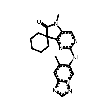 Cc1cc2ncnn2cc1Nc1ncc2c(n1)C1(CCCCC1)C(=O)N2C